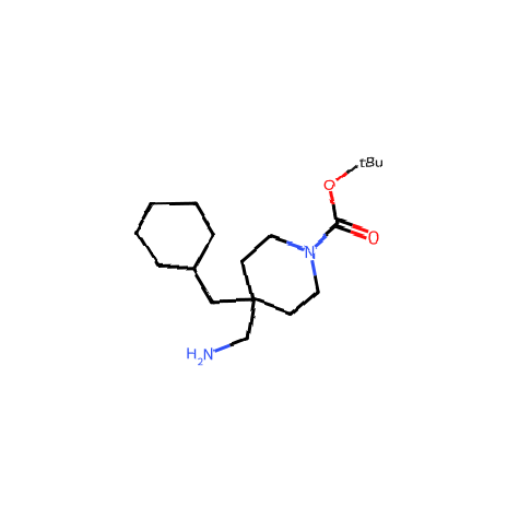 CC(C)(C)OC(=O)N1CCC(CN)(CC2CCCCC2)CC1